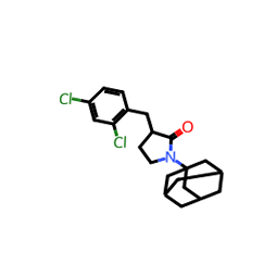 O=C1C(Cc2ccc(Cl)cc2Cl)CCN1C12CC3CC(CC(C3)C1)C2